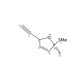 C#CC1C=CP(=S)(SC)O1